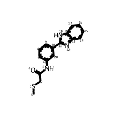 CSCC(=O)Nc1cccc(-c2nc3ccccc3[nH]2)c1